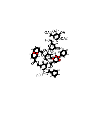 CCCCO[C@@H]1OC(COC(=O)c2ccccc2)[C@@H](O[C@@H]2OC(COC(=O)c3ccccc3)[C@H](O)C(O[C@@H]3OC(CO)[C@@H](O[C@@H]4OC(COC(C)=O)[C@H](OC(C)=O)C(O)[C@@H]4OC(C)=O)C(O)[C@@H]3C)[C@@H]2OC(=O)c2ccccc2)C(OC(=O)c2ccccc2)[C@@H]1OC(=O)c1ccccc1